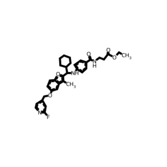 CCOC(=O)CCNC(=O)c1ccc(NC(c2oc3ccc(OCc4ccnc(F)c4)cc3c2C)C2CCCCC2)cc1